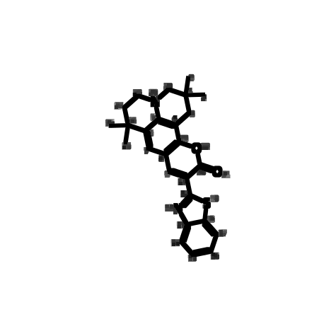 CC1(C)Cc2c3c(cc4cc(-c5nc6ccccc6s5)c(=O)oc24)C(C)(C)CCN3C1